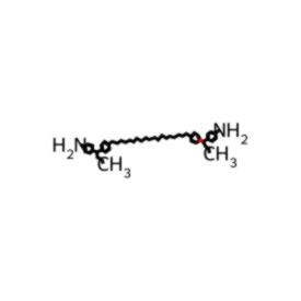 CCCC(c1ccc(N)cc1)c1ccc(CCCCCCCCCCCCCCCCCCCc2ccc(C(CCC)c3ccc(N)cc3)cc2)cc1